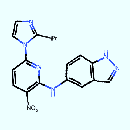 CC(C)c1nccn1-c1ccc([N+](=O)[O-])c(Nc2ccc3[nH]ncc3c2)n1